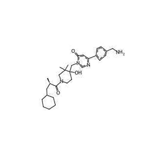 C[C@H](CC1CCCCC1)C(=O)N1CCC(O)(Cn2cnc(-c3ccc(CN)cc3)cc2=O)C(C)(C)C1